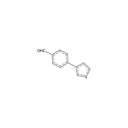 O=Cc1ccc(-c2ccsc2)cc1